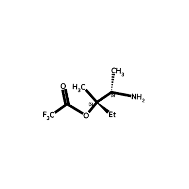 CC[C@](C)(OC(=O)C(F)(F)F)[C@H](C)N